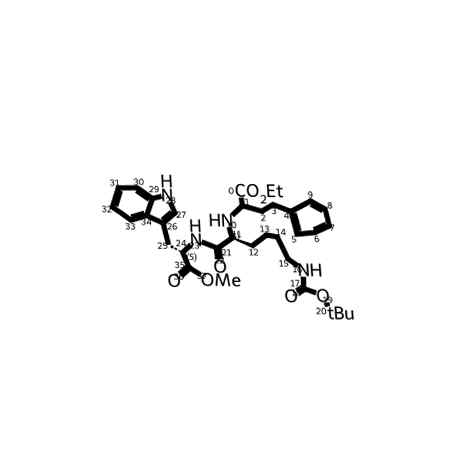 CCOC(=O)C(CCc1ccccc1)N[C@@H](CCCCNC(=O)OC(C)(C)C)C(=O)N[C@@H](Cc1c[nH]c2ccccc12)C(=O)OC